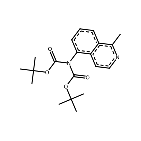 Cc1nccc2c(N(C(=O)OC(C)(C)C)C(=O)OC(C)(C)C)cccc12